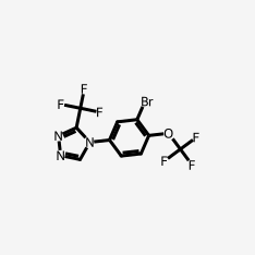 FC(F)(F)Oc1ccc(-n2cnnc2C(F)(F)F)cc1Br